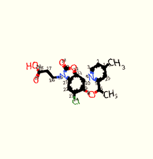 Cc1ccnc(C(C)Oc2cc3oc(=O)n(CCC(=O)O)c3cc2Cl)c1